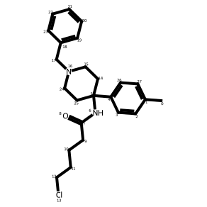 Cc1ccc(C2(NC(=O)CCCCCl)CCN(Cc3ccccc3)CC2)cc1